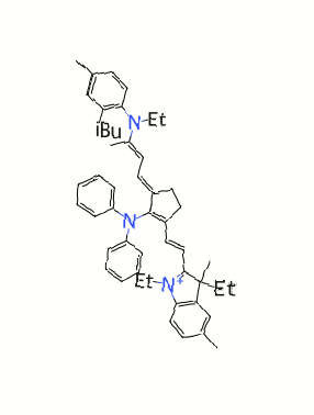 CCC(C)c1cc(C)ccc1N(CC)/C(C)=C/C=C1\CCC(/C=C/C2=[N+](CC)c3ccc(C)cc3C2(C)CC)=C1N(c1ccccc1)c1ccccc1